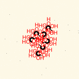 OC[C@H]1OC(O[C@H]2[C@@H](O[C@H]3[C@H](O)[C@@H](O)[C@@H](O[C@H]4[C@H](O)[C@@H](O)[C@@H](O)O[C@@H]4CO)O[C@@H]3CO)O[C@H](CO)[C@@H](O[C@H]3O[C@H](CO)[C@@H](O[C@H]4O[C@H](CO)[C@@H](O[C@H]5O[C@H](CO)[C@@H](O)[C@H](O)[C@H]5O)[C@H](O)[C@H]4O)[C@H](O)[C@H]3O)[C@@H]2O)[C@H](O)[C@@H](O)[C@H]1O